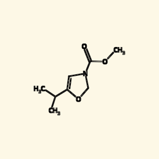 COC(=O)N1C=C(C(C)C)OC1